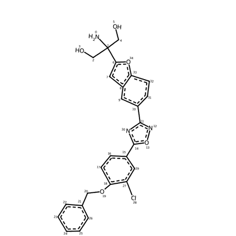 NC(CO)(CO)c1cc2cc(-c3noc(-c4ccc(OCc5ccccc5)c(Cl)c4)n3)ccc2o1